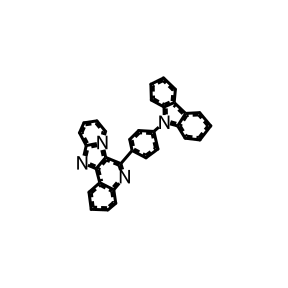 c1ccc2c(c1)nc(-c1ccc(-n3c4ccccc4c4ccccc43)cc1)c1c2nc2ccccn21